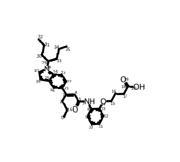 CCCC(=CC(=O)Nc1ccccc1OCCCC(=O)O)c1ccc2c(ccn2C(CCC)CCC)c1